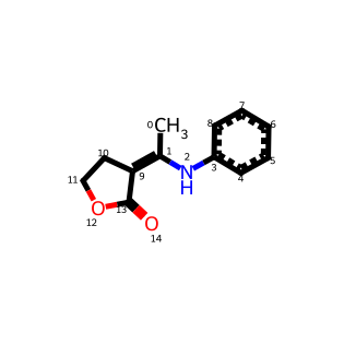 C/C(Nc1ccccc1)=C1\CCOC1=O